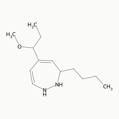 CCCCC1C=C(C(CC)OC)C=CNN1